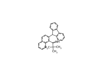 CC(C)(C)C(=N)c1c(C2c3ccccc3-c3ccccc32)ccc2ccccc12